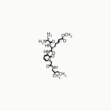 CCC(C)CNC(=O)Cn1cccc(NC(=O)[C@H](CC/C=C/C(=O)OC)NC(=O)C(C)N)c1=O